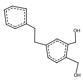 OCc1ccc(CCc2cc[c]cc2)cc1CO